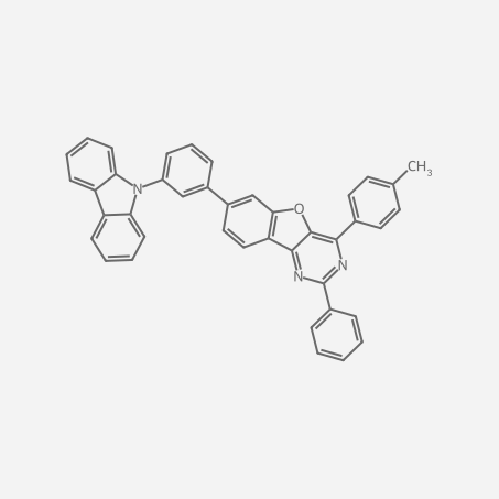 Cc1ccc(-c2nc(-c3ccccc3)nc3c2oc2cc(-c4cccc(-n5c6ccccc6c6ccccc65)c4)ccc23)cc1